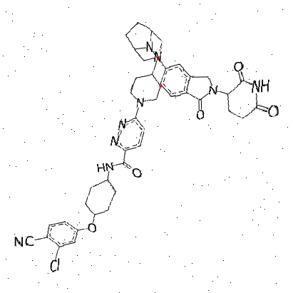 N#Cc1ccc(OC2CCC(NC(=O)c3ccc(N4CCC(CN5C6CCC5CN(c5ccc7c(c5)CN(C5CCC(=O)NC5=O)C7=O)C6)CC4)nn3)CC2)cc1Cl